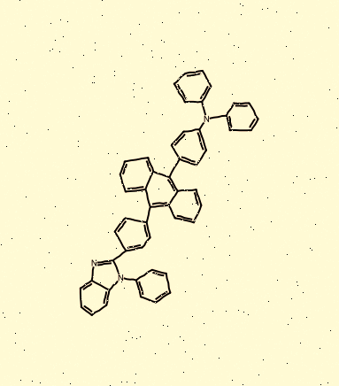 c1ccc(N(c2ccccc2)c2ccc(-c3c4ccccc4c(-c4ccc(-c5nc6ccccc6n5-c5ccccc5)cc4)c4ccccc34)cc2)cc1